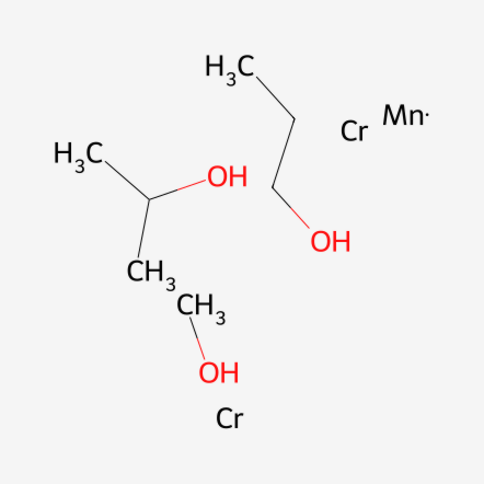 CC(C)O.CCCO.CO.[Cr].[Cr].[Mn]